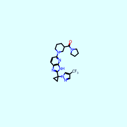 O=C(C1CCCN(c2ccc3nc(C4(n5cc(C(F)(F)F)cn5)CC4)[nH]c3n2)C1)N1CCCC1